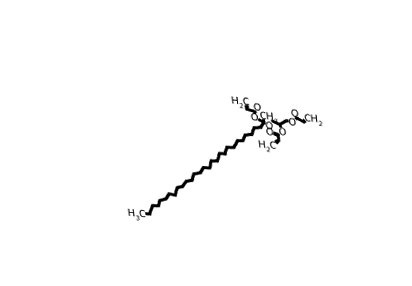 C=CC(=O)OCC(COC(C)(CCCCCCCCCCCCCCCCCCCCCCCCCCCC)OC(=O)C=C)OC(=O)C=C